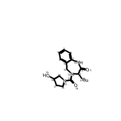 CCC(C)C1C(=O)Nc2ccccc2CN1C(=O)N1CCC(O)C1